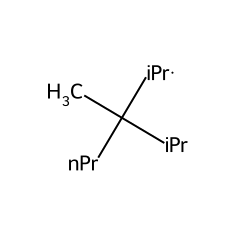 CCCC(C)([C](C)C)C(C)C